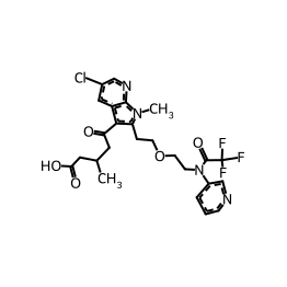 CC(CC(=O)O)CC(=O)c1c(CCOCCN(C(=O)C(F)(F)F)c2cccnc2)n(C)c2ncc(Cl)cc12